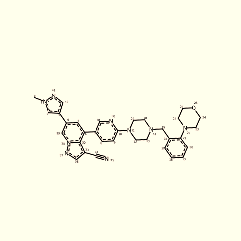 Cn1cc(-c2cc(-c3ccc(N4CCN(Cc5ccccc5N5CCOCC5)CC4)nc3)c3c(C#N)cnn3c2)cn1